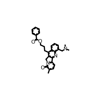 Cc1ccc2n(c1=O)Cc1c-2nc2c(CN(C)C)cccc2c1CCCOC(=O)c1ccccc1